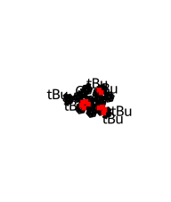 CC(C)(C)c1cc(-c2cc3c4c(c2)N(c2ccccc2)c2cc5c(cc2B4c2ccc(C(C)(C)C)cc2O3)B2c3ccc(C(C)(C)C)cc3N(c3ccccc3-c3ccccc3)c3cc(-c4cc(C(C)(C)C)cc(C(C)(C)C)c4)cc(c32)N5c2c(-c3ccccc3)cccc2-c2ccccc2)cc(C(C)(C)C)c1